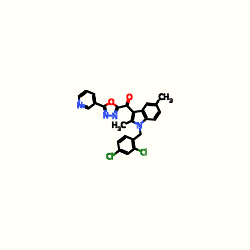 Cc1ccc2c(c1)c(C(=O)c1nnc(-c3cccnc3)o1)c(C)n2Cc1ccc(Cl)cc1Cl